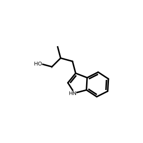 CC([CH]O)Cc1c[nH]c2ccccc12